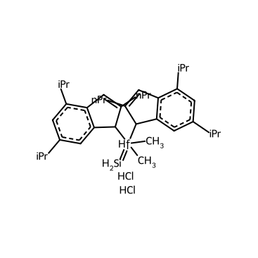 CCCC1=Cc2c(C(C)C)cc(C(C)C)cc2[CH]1[Hf]([CH3])([CH3])(=[SiH2])[CH]1C(CCC)=Cc2c(C(C)C)cc(C(C)C)cc21.Cl.Cl